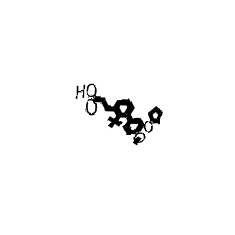 COc1ccc(-c2cccc(CCC(=O)O)c2C(C)(C)C)cc1OC1CCCC1